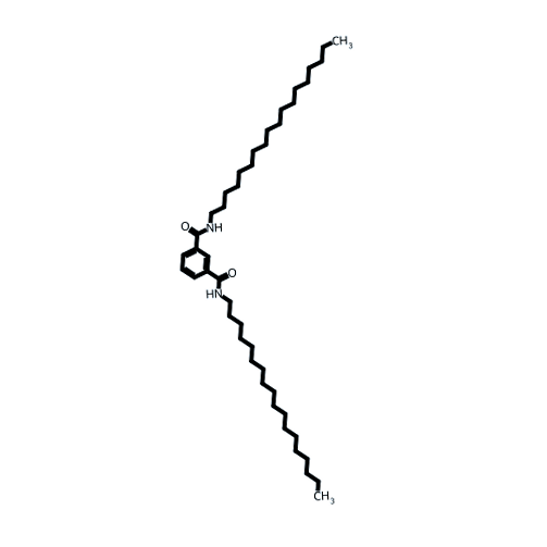 CCCCCCCCCCCCCCCCCCNC(=O)c1cccc(C(=O)NCCCCCCCCCCCCCCCCCC)c1